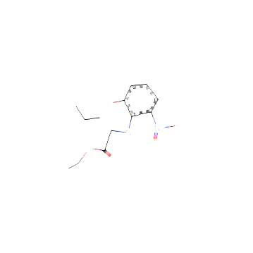 CCC[C@H](Nc1c(Br)cccc1[N+](=O)[O-])C(=O)OCC